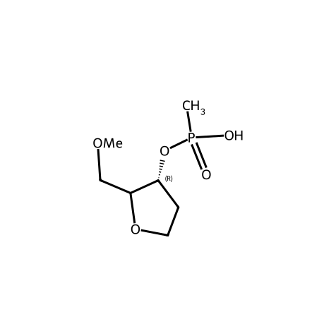 COCC1OCC[C@H]1OP(C)(=O)O